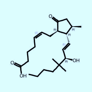 CCCCC(C)(C)[C@H](O)/C=C/[C@H]1[C@H](C)CC(=O)[C@@H]1C/C=C\CCCC(=O)O